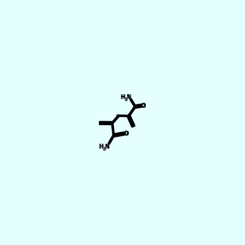 C=C([C]C(=C)C(N)=O)C(N)=O